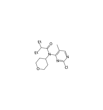 CCC(CC)C(=O)N(c1nc(Cl)ncc1C)C1CCOCC1